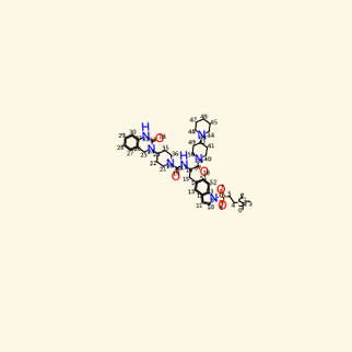 C[Si](C)(C)CCS(=O)(=O)n1ccc2cc(CC(NC(=O)N3CCC(N4Cc5ccccc5NC4=O)CC3)C(=O)N3CCC(N4CCCCC4)CC3)ccc21